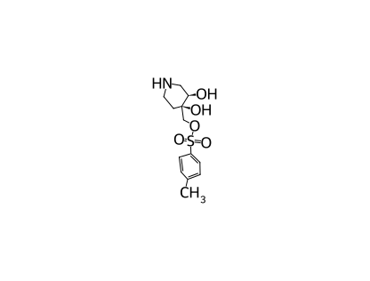 Cc1ccc(S(=O)(=O)OC[C@]2(O)CCNC[C@H]2O)cc1